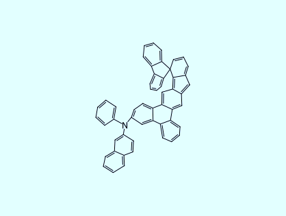 C1=CC2(C3=c4cc5c6ccc(N(c7ccccc7)c7ccc8ccccc8c7)cc6c6ccccc6c5cc4=CC3=C1)c1ccccc1-c1ccccc12